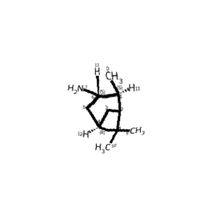 C[C@H]1C2C[C@H](C[C@@H]1N)C2(C)C